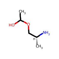 CC(O)OC[C@@H](C)N